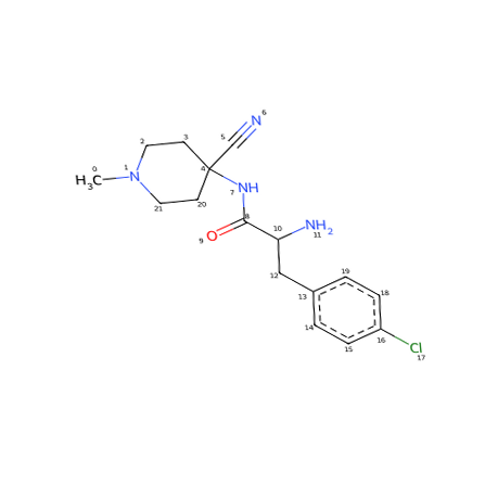 CN1CCC(C#N)(NC(=O)C(N)Cc2ccc(Cl)cc2)CC1